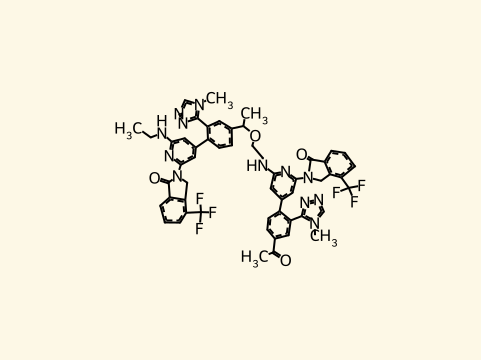 CCNc1cc(-c2ccc(C(C)OCCNc3cc(-c4ccc(C(C)=O)cc4-c4nncn4C)cc(N4Cc5c(cccc5C(F)(F)F)C4=O)n3)cc2-c2nncn2C)cc(N2Cc3c(cccc3C(F)(F)F)C2=O)n1